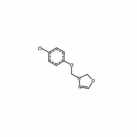 Clc1ccc(OCN2COC=N2)cc1